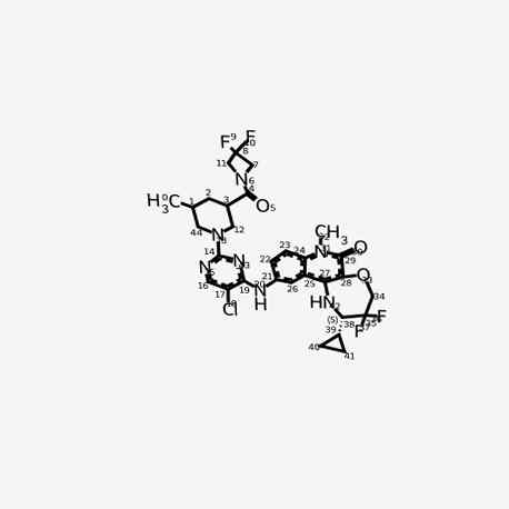 CC1CC(C(=O)N2CC(F)(F)C2)CN(c2ncc(Cl)c(Nc3ccc4c(c3)c3c(c(=O)n4C)OCC(F)(F)[C@H](C4CC4)N3)n2)C1